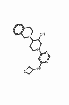 OC1CN(c2cc(NC3COC3)ncn2)CCC1N1CCc2ccccc2C1